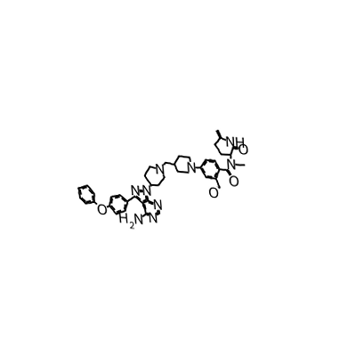 C=C1CCC(N(C)C(=O)c2ccc(N3CCC(CN4CCC(n5nc(-c6ccc(Oc7ccccc7)cc6)c6c(N)ncnc65)CC4)CC3)cc2C=O)C(=O)N1